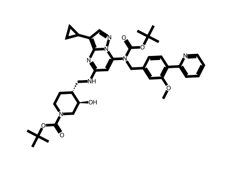 COc1cc(CN(C(=O)OC(C)(C)C)c2cc(NC[C@H]3CCN(C(=O)OC(C)(C)C)C[C@@H]3O)nc3c(C4CC4)cnn23)ccc1-c1ccccn1